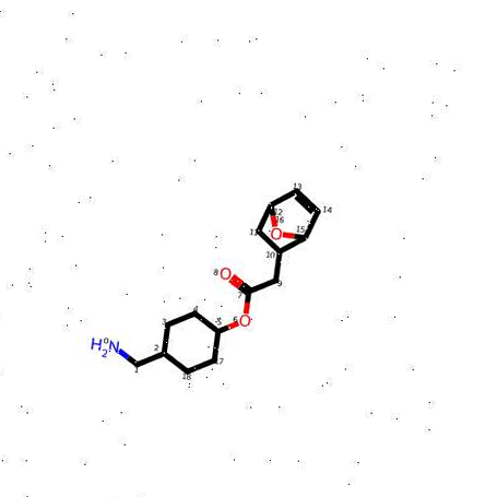 NCC1CCC(OC(=O)CC2CC3C=CC2O3)CC1